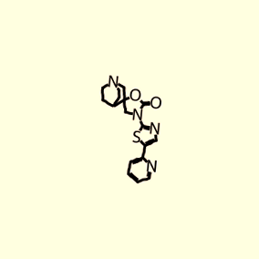 O=C1OC2(CN3CCC2CC3)CN1c1ncc(-c2ccccn2)s1